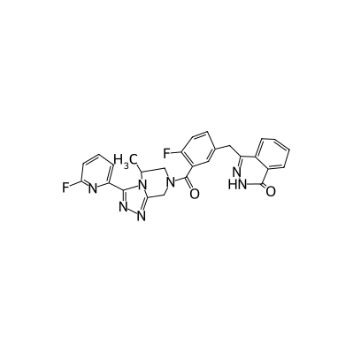 CC1CN(C(=O)c2cc(Cc3n[nH]c(=O)c4ccccc34)ccc2F)Cc2nnc(-c3cccc(F)n3)n21